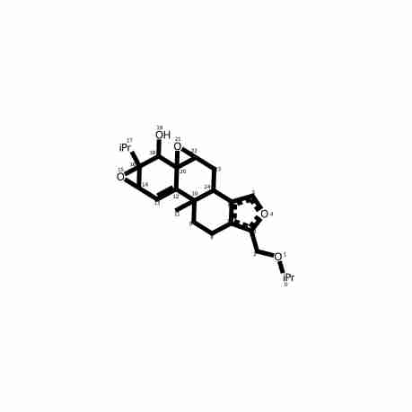 CC(C)OCc1occ2c1CCC1(C)C3=CC4OC4(C(C)C)C(O)C34OC4CC21